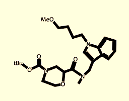 COCCCCn1cc(CN(C)C(=O)C2CN(C(=O)OC(C)(C)C)CCO2)c2ccccc21